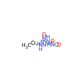 Cc1cccc(/C=N/Nc2nc(N3CCOCC3)c3[nH]c(C(=O)NC4CCOCC4)cc3n2)c1